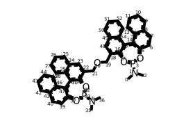 CN(C)p1oc2ccc3ccccc3c2c2c(o1)c(COCc1cc3ccccc3c3c1op(N(C)C)oc1ccc4ccccc4c13)cc1ccccc12